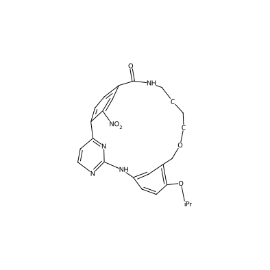 CC(C)Oc1ccc2cc1COCCCCNC(=O)c1ccc(c([N+](=O)[O-])c1)-c1ccnc(n1)N2